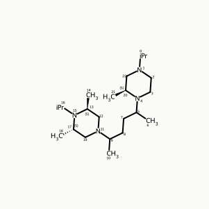 CC(C)N1CCN(C(C)CCC(C)N2C[C@H](C)N(C(C)C)[C@@H](C)C2)[C@@H](C)C1